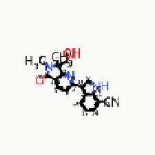 CN1C(=O)c2ccc(-c3c[nH]c4c(C#N)cccc34)nc2C1(C)CO